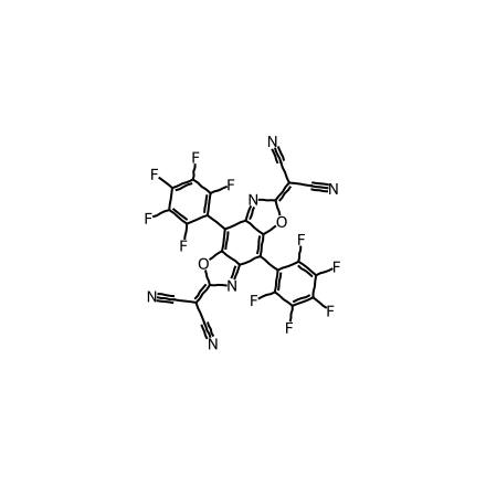 N#CC(C#N)=c1nc2c(-c3c(F)c(F)c(F)c(F)c3F)c3oc(=C(C#N)C#N)nc3c(-c3c(F)c(F)c(F)c(F)c3F)c2o1